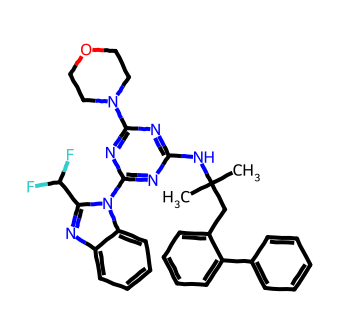 CC(C)(Cc1ccccc1-c1ccccc1)Nc1nc(N2CCOCC2)nc(-n2c(C(F)F)nc3ccccc32)n1